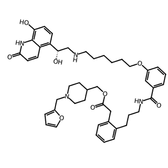 O=C(Cc1ccccc1CCCNC(=O)c1cccc(OCCCCCCNC[C@H](O)c2ccc(O)c3[nH]c(=O)ccc23)c1)OCC1CCN(Cc2ccco2)CC1